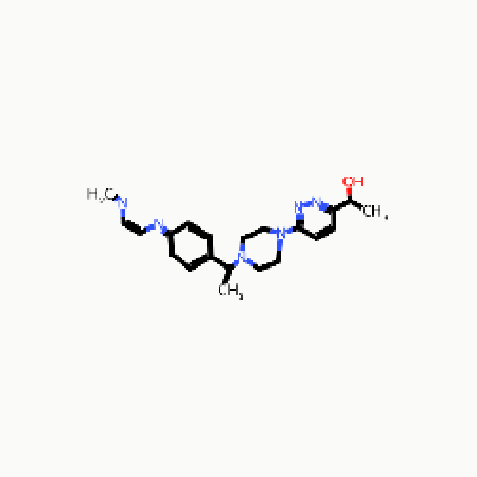 C=N/C=C\N=C1\C=CC(C(C)N2CCN(c3ccc(C(C)O)nn3)CC2)=CC1